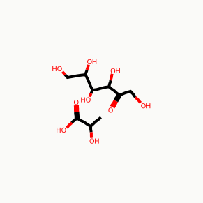 CC(O)C(=O)O.O=C(CO)C(O)C(O)C(O)CO